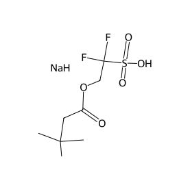 CC(C)(C)CC(=O)OCC(F)(F)S(=O)(=O)O.[NaH]